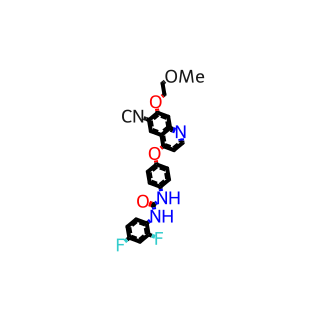 [C-]#[N+]c1cc2c(Oc3ccc(NC(=O)Nc4ccc(F)cc4F)cc3)ccnc2cc1OCCOC